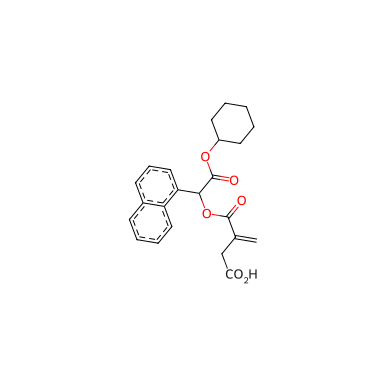 C=C(CC(=O)O)C(=O)OC(C(=O)OC1CCCCC1)c1cccc2ccccc12